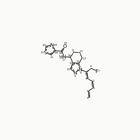 C=C/C=C\C=C(/CF)n1ncc2c1CCCC2NC(=O)c1cscn1